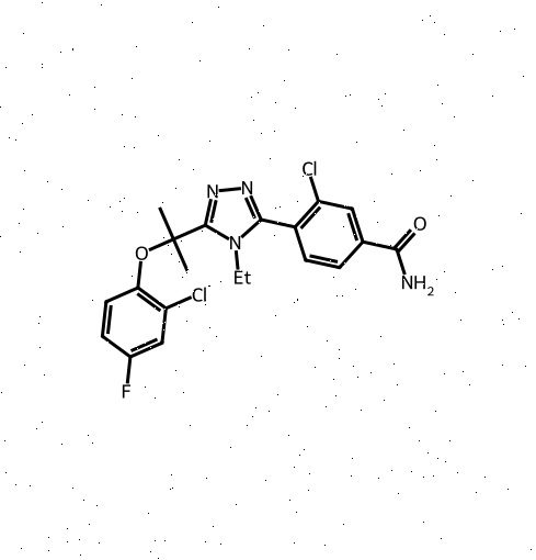 CCn1c(-c2ccc(C(N)=O)cc2Cl)nnc1C(C)(C)Oc1ccc(F)cc1Cl